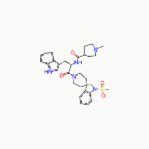 CN1CCC(C(=O)N[C@H](Cc2c[nH]c3ccccc23)C(=O)N2CCC3(CC2)CN(S(C)(=O)=O)c2ccccc23)CC1